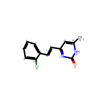 O=c1nc(/C=C/c2ccccc2Cl)cc(C(F)(F)F)[nH]1